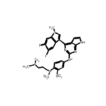 CN(C)CCN(C)c1ccc(Nc2nc(-c3cn(C)c4cc(F)c(F)cc34)c3cc[nH]c3n2)cc1[N+](=O)[O-]